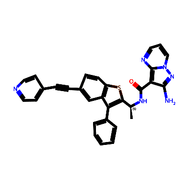 C[C@H](NC(=O)c1c(N)nn2cccnc12)c1sc2ccc(C#Cc3ccncc3)cc2c1-c1ccccc1